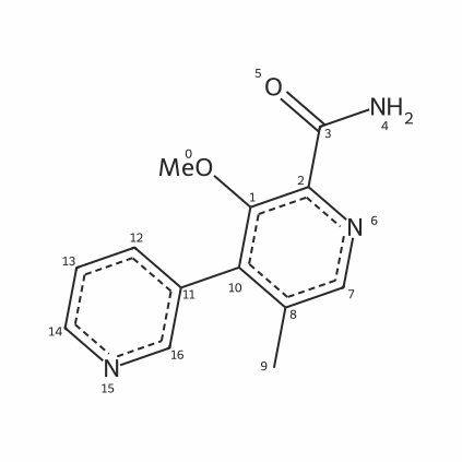 COc1c(C(N)=O)ncc(C)c1-c1cccnc1